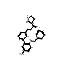 O=C(CCc1cccc(-c2cc(Br)ccc2OCc2ccccc2)c1)C1CCOC1